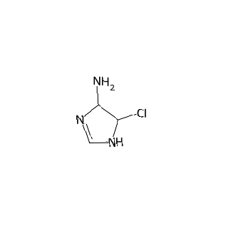 NC1N=CNC1Cl